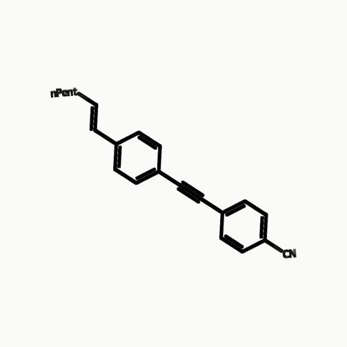 CCCCCC=Cc1ccc(C#Cc2ccc(C#N)cc2)cc1